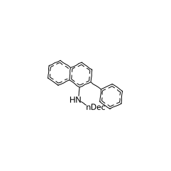 CCCCCCCCCCNc1c(-c2ccccc2)ccc2ccccc12